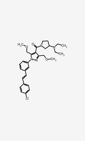 CCN(CC)C1CCN(C(=O)c2c(COC)nn(-c3cccc(/C=C/c4ccc(Cl)cc4)c3)c2COC)C1